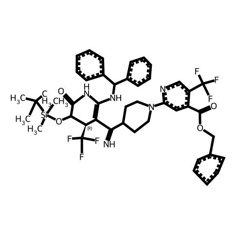 CC(C)(C)[Si](C)(C)OC1C(=O)NC(NC(c2ccccc2)c2ccccc2)=C(C(=N)C2CCN(c3cc(C(=O)OCc4ccccc4)c(C(F)(F)F)cn3)CC2)[C@H]1C(F)(F)F